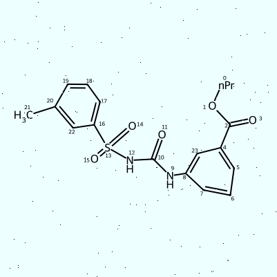 CCCOC(=O)c1cccc(NC(=O)NS(=O)(=O)c2cccc(C)c2)c1